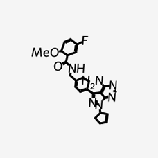 COC1C=CC(F)=CC1C(=O)NCC1=CC=C(c2nn(C3C=CCC3)c3ncnc(N)c23)CC1